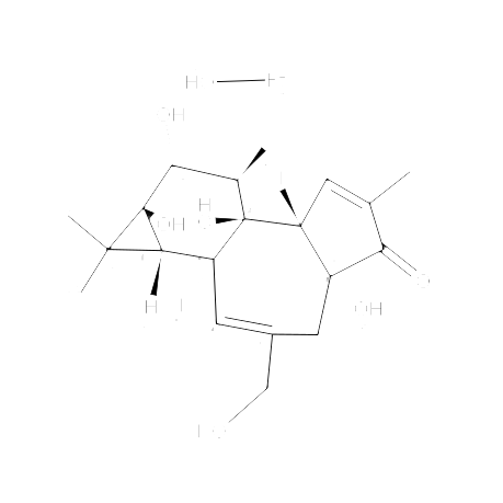 CC1=C[C@H]2[C@@]3(O)[C@H](C)[C@@H](O)[C@]4(O)[C@H]([C@@H]3C=C(CO)C[C@]2(O)C1=O)C4(C)C.CCO